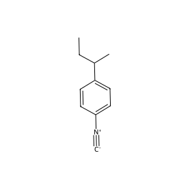 [C-]#[N+]c1ccc(C(C)CC)cc1